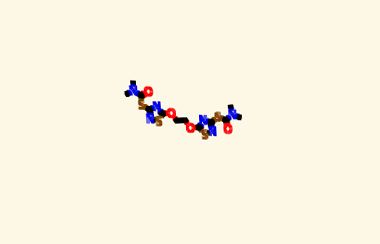 CN(C)C(=O)Sc1nsc(OCCOc2nc(SC(=O)N(C)C)ns2)n1